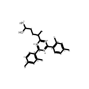 CCCC(O)CCC(C)c1nc(-c2ccc(C)cc2C)nc(-c2ccc(C)cc2C)n1